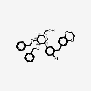 CCc1ccc([C@@H]2O[C@H](CO)[C@@H](C)[C@H](OCc3ccccc3)[C@H]2OCc2ccccc2)cc1Cc1ccc2c(c1)OCCO2